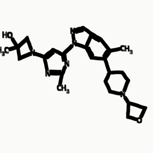 Cc1nc(N2CC(C)(O)C2)cc(-n2ncc3cc(C)c(C4CCN(C5COC5)CC4)cc32)n1